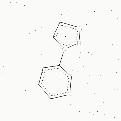 [c]1ncccc1-n1ccnn1